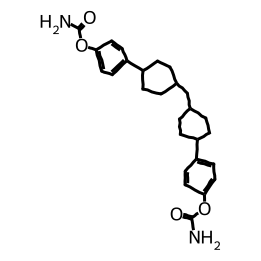 NC(=O)Oc1ccc(C2CCC(CC3CCC(c4ccc(OC(N)=O)cc4)CC3)CC2)cc1